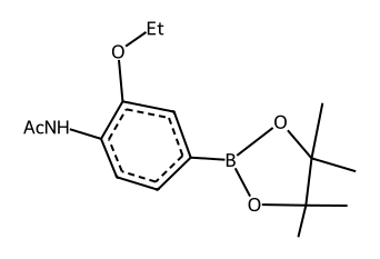 CCOc1cc(B2OC(C)(C)C(C)(C)O2)ccc1NC(C)=O